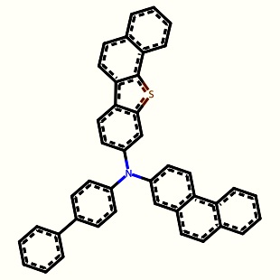 c1ccc(-c2ccc(N(c3ccc4c(ccc5ccccc54)c3)c3ccc4c(c3)sc3c5ccccc5ccc43)cc2)cc1